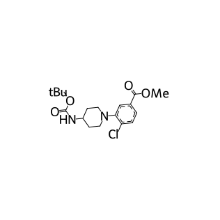 COC(=O)c1ccc(Cl)c(N2CCC(NC(=O)OC(C)(C)C)CC2)c1